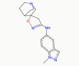 Cn1ncc2cc(NC3=NOC4(C3)CN3CCC4CC3)ccc21